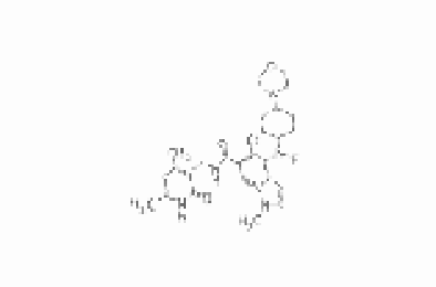 CCc1c(C(=O)NCc2c(C)cc(C)[nH]c2=O)cc2c(cnn2C)c1N(CC)C1CCC(N2CCOCC2)CC1